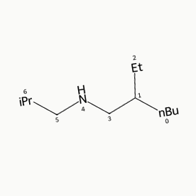 CCCCC(CC)CNCC(C)C